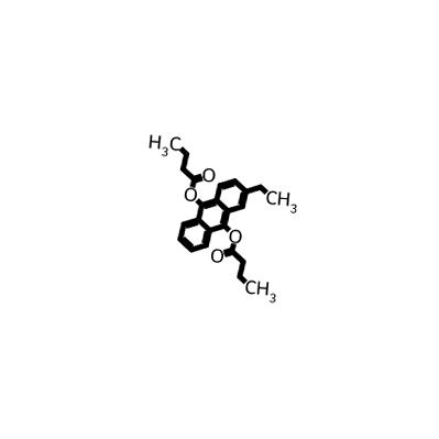 CCCC(=O)Oc1c2ccccc2c(OC(=O)CCC)c2cc(CC)ccc12